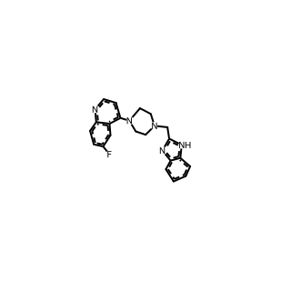 Fc1ccc2nccc(N3CCN(Cc4nc5ccccc5[nH]4)CC3)c2c1